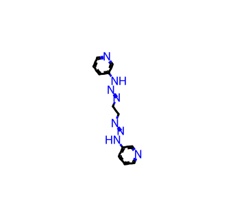 c1cncc(NN=NCCN=NNc2cccnc2)c1